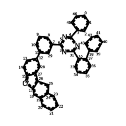 c1ccc(-c2nc(-c3cccc(-c4ccc5oc6cc7ccccc7cc6c5c4)c3)nc(-c3ccccc3-c3ccccc3)n2)cc1